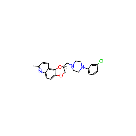 Cc1ccc2c3c(ccc2n1)OC[C@H](CN1CCN(c2cccc(Cl)c2)CC1)O3